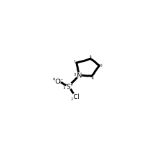 [O-][S+](Cl)N1CCCC1